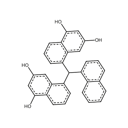 Oc1cc(O)c2cccc(C(c3cccc4ccccc34)c3cccc4c(O)cc(O)cc34)c2c1